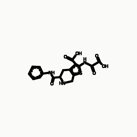 O=C(O)C(=O)Nc1sc2c(c1C(=O)O)CC(C(=O)Nc1ccccc1)NC2